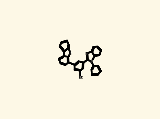 CCc1cc(-c2cccc3c2sc2ccccc23)cc(-c2nc3ccccc3n2-c2ccccc2)c1